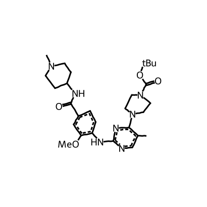 COc1cc(C(=O)NC2CCN(C)CC2)ccc1Nc1ncc(C)c(N2CCN(C(=O)OC(C)(C)C)CC2)n1